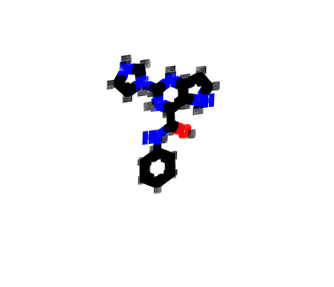 O=C(Nc1ccccc1)c1nc(-n2ccnc2)nc2cc[nH]c12